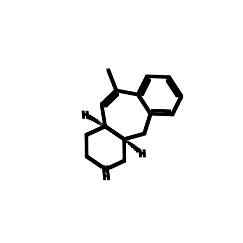 CC1=C[C@@H]2CCNC[C@@H]2Cc2ccccc21